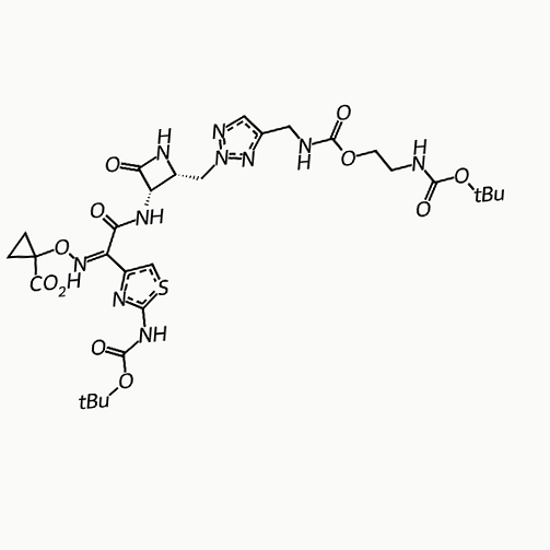 CC(C)(C)OC(=O)NCCOC(=O)NCc1cnn(C[C@H]2NC(=O)[C@H]2NC(=O)/C(=N\OC2(C(=O)O)CC2)c2csc(NC(=O)OC(C)(C)C)n2)n1